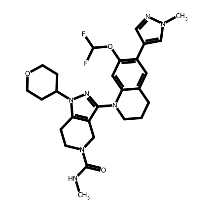 CNC(=O)N1CCc2c(c(N3CCCc4cc(-c5cnn(C)c5)c(OC(F)F)cc43)nn2C2CCOCC2)C1